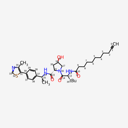 C#CCCCCCCCCC(=O)NC(C(=O)N1C[C@H](O)C[C@H]1C(=O)N[C@@H](C)c1ccc(-c2scnc2C)cc1)C(C)(C)C